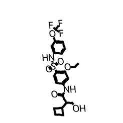 CCOc1cc(NC(=O)C(CO)C2CCC2)ccc1S(=O)(=O)Nc1cccc(OC(F)(F)F)c1